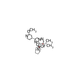 COc1cc(-c2cn3ncc(F)c(N4CC5CCC(C4)N5C(=O)OCC(C)C)c3n2)ccn1